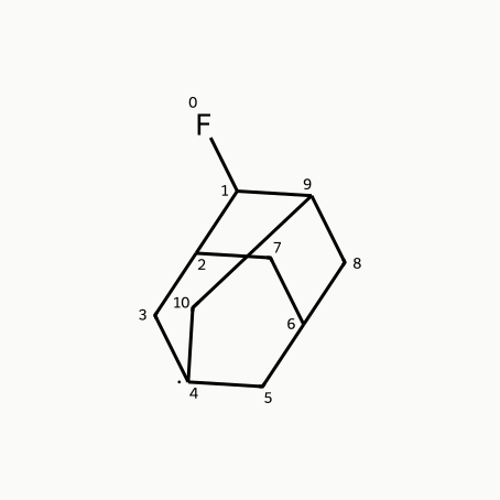 FC1C2C[C]3CC(C2)CC1C3